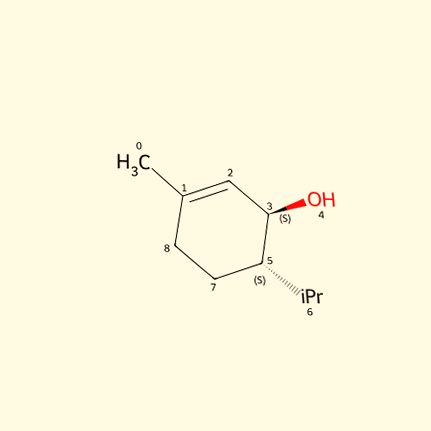 CC1=C[C@@H](O)[C@H](C(C)C)CC1